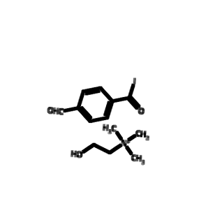 C[N+](C)(C)CCO.O=Cc1ccc(C(=O)I)cc1